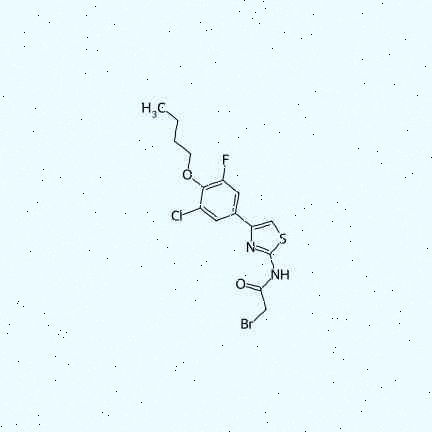 CCCCOc1c(F)cc(-c2csc(NC(=O)CBr)n2)cc1Cl